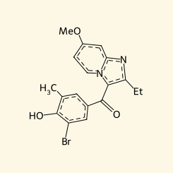 CCc1nc2cc(OC)ccn2c1C(=O)c1cc(C)c(O)c(Br)c1